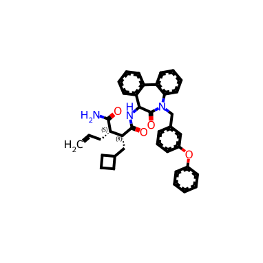 C=CC[C@H](C(N)=O)[C@@H](CC1CCC1)C(=O)NC1C(=O)N(Cc2cccc(Oc3ccccc3)c2)c2ccccc2-c2ccccc21